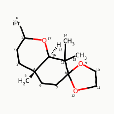 CC(C)C1CC[C@@]2(C)CCC3(OCCO3)C(C)(C)[C@@H]2O1